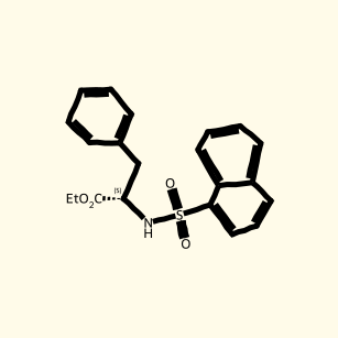 CCOC(=O)[C@H](Cc1ccccc1)NS(=O)(=O)c1cccc2ccccc12